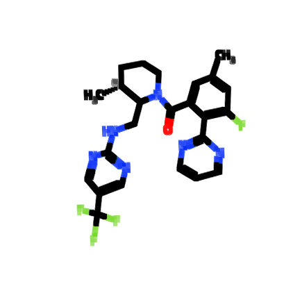 Cc1cc(F)c(-c2ncccn2)c(C(=O)N2CCC[C@@H](C)C2CNc2ncc(C(F)(F)F)cn2)c1